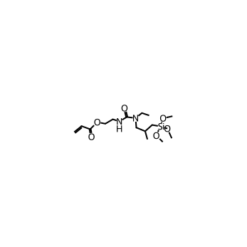 C=CC(=O)OCCNC(=O)N(CC)CC(C)C[Si](OC)(OC)OC